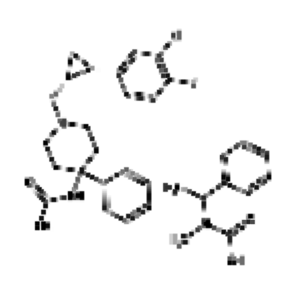 CC(=O)NC1(c2ccccc2)CCN(C[C@@H]2C[C@@H]2c2ccc(Cl)c(Cl)c2)CC1.CC(c1ccccc1)N(C)C(=O)O